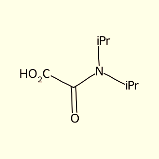 CC(C)N(C(=O)C(=O)O)C(C)C